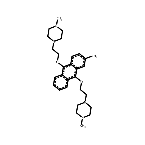 Cc1ccc2c(OCCN3CCN(C)CC3)c3ccccc3c(OCCN3CCN(C)CC3)c2c1